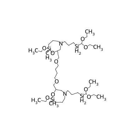 CCOC(OCC)[SiH2]CCCN1CCC[Si](C)(OCC)OC(COCCCCOCC2CN(CCC[SiH2]C(OCC)OCC)CCC[Si](C)(OCC)O2)C1